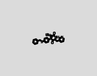 CC(C)(C)OC(=O)NC(Cc1cccnc1)C(=O)Nc1ccc(SCc2ccccc2)cc1